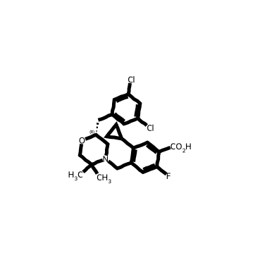 CC1(C)CO[C@H](Cc2cc(Cl)cc(Cl)c2)CN1Cc1cc(F)c(C(=O)O)cc1C1CC1